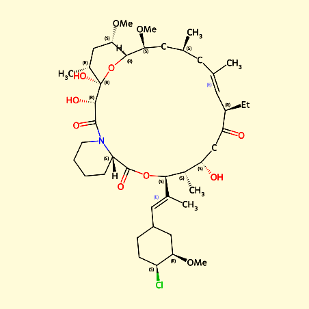 CC[C@@H]1/C=C(\C)C[C@H](C)C[C@H](OC)[C@H]2O[C@](O)([C@H](C)C[C@@H]2OC)[C@@H](O)C(=O)N2CCCC[C@H]2C(=O)O[C@H](/C(C)=C/C2CC[C@H](Cl)[C@H](OC)C2)[C@@H](C)[C@@H](O)CC1=O